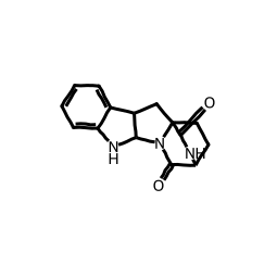 O=C1C2CCC3(CC4c5ccccc5NC4N13)C(=O)N2